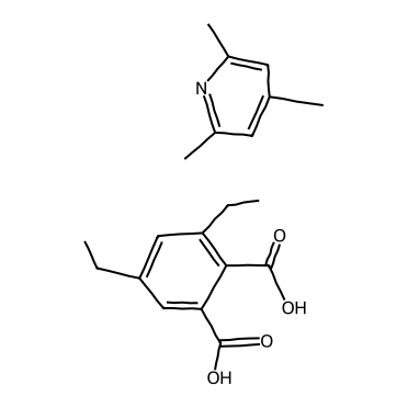 CCc1cc(CC)c(C(=O)O)c(C(=O)O)c1.Cc1cc(C)nc(C)c1